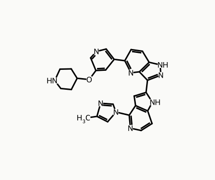 Cc1cn(-c2nccc3[nH]c(-c4n[nH]c5ccc(-c6cncc(OC7CCNCC7)c6)nc45)cc23)cn1